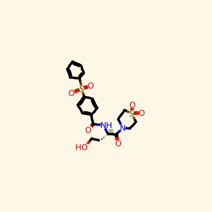 O=C(N[C@@H](CCO)C(=O)N1CCS(=O)(=O)CC1)c1ccc(S(=O)(=O)c2ccccc2)cc1